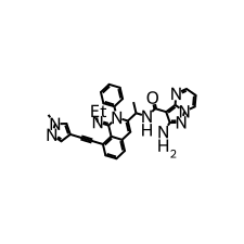 CCN=c1c2c(C#Cc3cnn(C)c3)cccc2cc(C(C)NC(=O)c2c(N)nn3cccnc23)n1-c1ccccc1